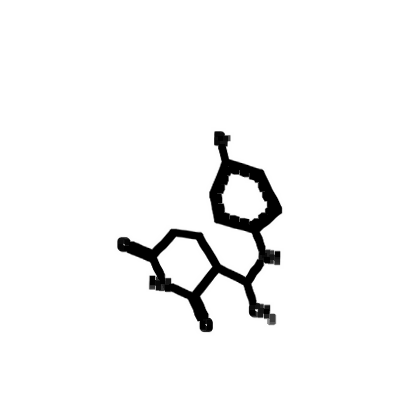 CC(Nc1ccc(Br)cc1)C1CCC(=O)NC1=O